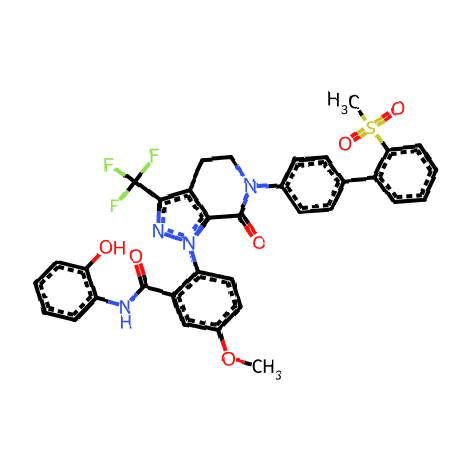 COc1ccc(-n2nc(C(F)(F)F)c3c2C(=O)N(c2ccc(-c4ccccc4S(C)(=O)=O)cc2)CC3)c(C(=O)Nc2ccccc2O)c1